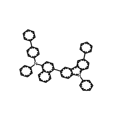 c1ccc(-c2ccc(N(c3ccccc3)c3ccc(-c4ccc5c(c4)c4cc(-c6ccccc6)ccc4n5-c4ccccc4)c4ccccc34)cc2)cc1